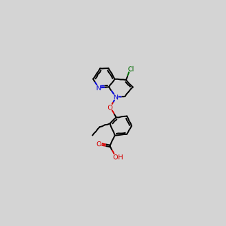 CCc1c(ON2CC=C(Cl)c3cccnc32)cccc1C(=O)O